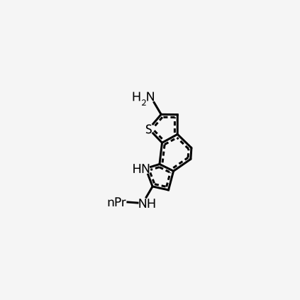 CCCNc1cc2ccc3cc(N)sc3c2[nH]1